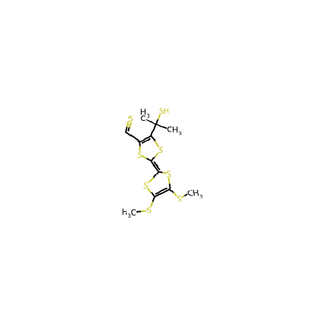 CSC1=C(SC)SC(=C2SC(C=S)=C(C(C)(C)S)S2)S1